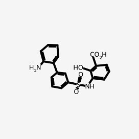 Nc1ccccc1-c1cccc(S(=O)(=O)Nc2cccc(C(=O)O)c2O)c1